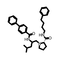 CC(C)CC(CN1CCC[C@H]1C(=O)NCCCCc1ccccc1)NC(=O)c1ccc(-c2ccccc2)cc1